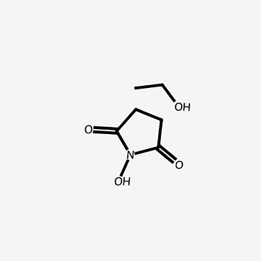 CCO.O=C1CCC(=O)N1O